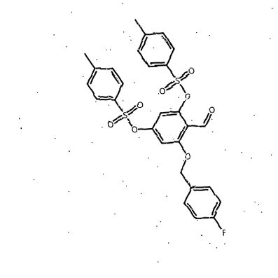 Cc1ccc(S(=O)(=O)Oc2cc(OCc3ccc(F)cc3)c(C=O)c(OS(=O)(=O)c3ccc(C)cc3)c2)cc1